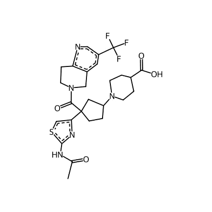 CC(=O)Nc1nc(C2(C(=O)N3CCc4ncc(C(F)(F)F)cc4C3)CCC(N3CCC(C(=O)O)CC3)C2)cs1